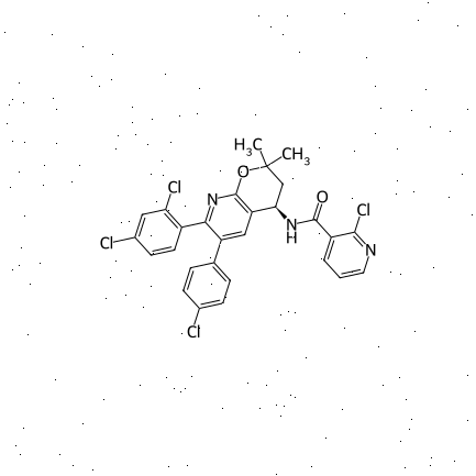 CC1(C)C[C@@H](NC(=O)c2cccnc2Cl)c2cc(-c3ccc(Cl)cc3)c(-c3ccc(Cl)cc3Cl)nc2O1